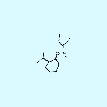 CCN(CC)C(=O)OC1CCCCC1C(C)C